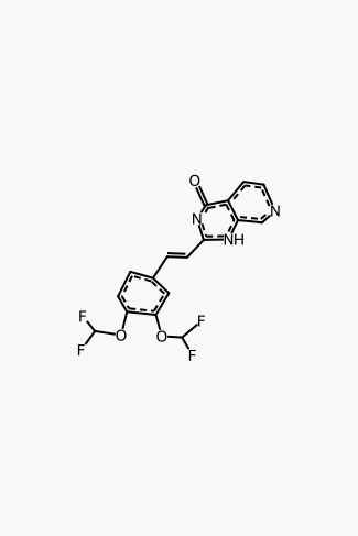 O=c1nc(/C=C/c2ccc(OC(F)F)c(OC(F)F)c2)[nH]c2cnccc12